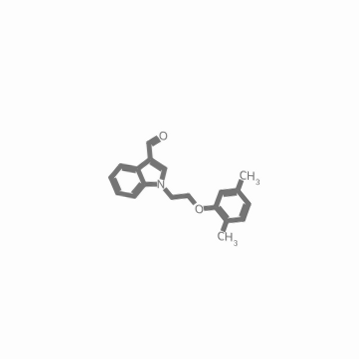 Cc1ccc(C)c(OCCn2cc(C=O)c3ccccc32)c1